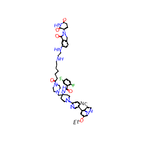 CCOc1cc(-c2ccc(N3CCC(CN4CCN(C(=O)CCCCCCNCCNc5ccc6c(c5)C(=O)N([C@@H]5CCC(=O)NC5=O)C6)CC4)(NC(=O)c4cc(F)ccc4F)CC3)nc2)c2c(C#N)cnn2c1